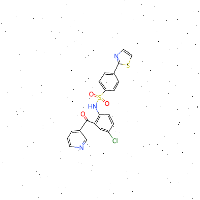 O=C(c1cccnc1)c1cc(Cl)ccc1NS(=O)(=O)c1ccc(-c2nccs2)cc1